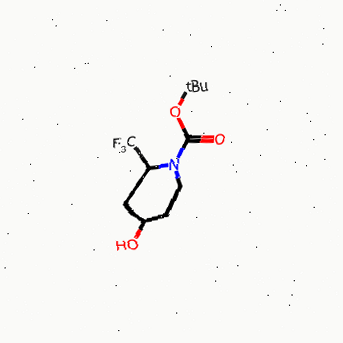 CC(C)(C)OC(=O)N1CCC(O)CC1C(F)(F)F